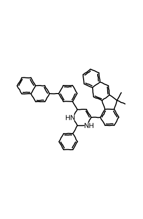 CC1(C)c2cc3ccccc3cc2-c2c(C3=CC(c4cccc(-c5ccc6ccccc6c5)c4)NC(c4ccccc4)N3)cccc21